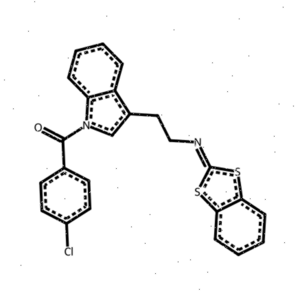 O=C(c1ccc(Cl)cc1)n1cc(CCN=c2sc3ccccc3s2)c2ccccc21